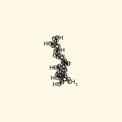 COc1ccc(N(CC(=O)O)CC(=O)O)c(OCCOc2cc([N+](=O)[O-])c(COc3ccc4cc(C(=O)NC5CCC(N(CC(=O)O)CC(=O)O)CC5)c(=O)oc4c3)cc2N(CC(=O)O)CC(=O)O)c1